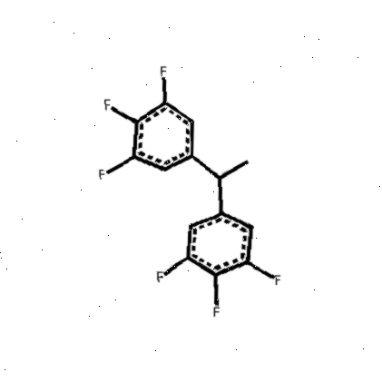 CC(c1cc(F)c(F)c(F)c1)c1cc(F)c(F)c(F)c1